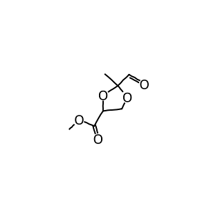 COC(=O)C1COC(C)(C=O)O1